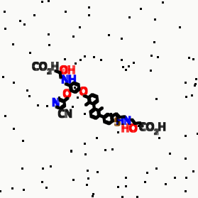 Cc1c(COc2ccc(CNC[C@@H](O)CC(=O)O)c(OCc3cncc(C#N)c3)c2)cccc1-c1cccc(-c2ccc3sc(CNC[C@@H](O)CC(=O)O)cc3c2)c1C